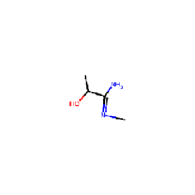 CN=C(N)C(C)O